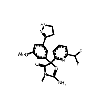 COc1cc(C2=NNCC2)cc(C2(c3cccc(C(F)F)n3)N=C(N)N(C)C2=O)c1